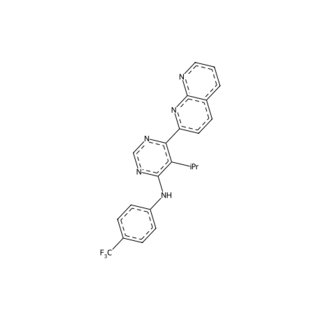 CC(C)c1c(Nc2ccc(C(F)(F)F)cc2)ncnc1-c1ccc2cccnc2n1